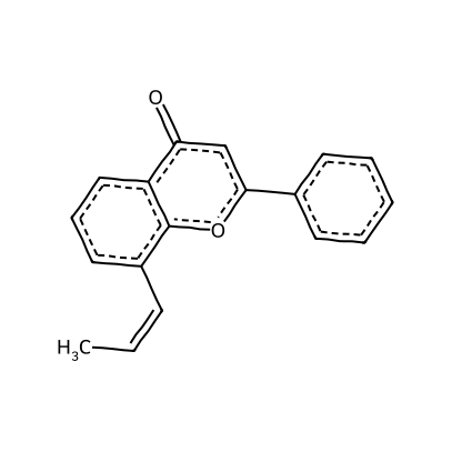 C/C=C\c1cccc2c(=O)cc(-c3ccccc3)oc12